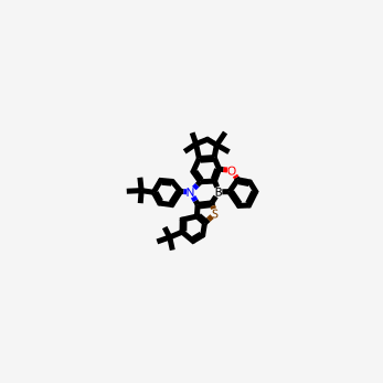 CC(C)(C)c1ccc(N2c3cc4c(c5c3B(c3ccccc3O5)c3sc5ccc(C(C)(C)C)cc5c32)C(C)(C)CC4(C)C)cc1